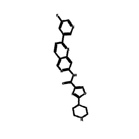 O=C(Nc1cc2nc(-c3cncc(F)c3)ccc2cn1)c1coc(C2CCNCC2)n1